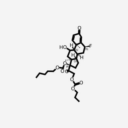 CCCCCOC(=O)O[C@]1(C(=O)COC(=O)OCCC)CC[C@H]2[C@@H]3C[C@H](F)C4=CC(=O)C=C[C@]4(C)[C@H]3C(O)C[C@@]21C